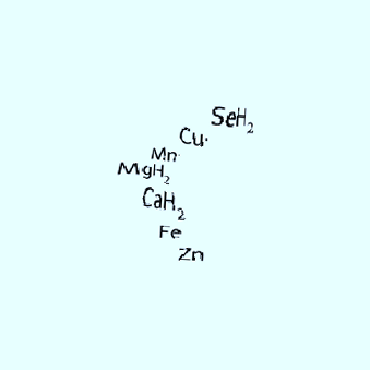 [CaH2].[Cu].[Fe].[MgH2].[Mn].[SeH2].[Zn]